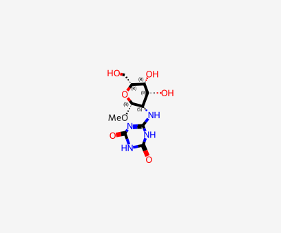 CO[C@@H]1O[C@H](CO)[C@H](O)[C@H](O)[C@@H]1Nc1nc(=O)[nH]c(=O)[nH]1